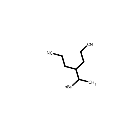 CCCCC(C)C(CCC#N)CCC#N